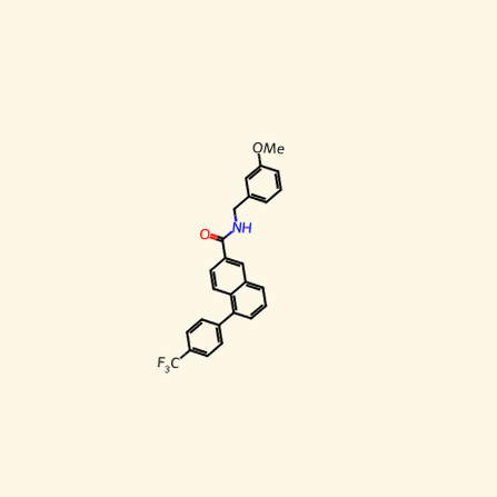 COc1cccc(CNC(=O)c2ccc3c(-c4ccc(C(F)(F)F)cc4)cccc3c2)c1